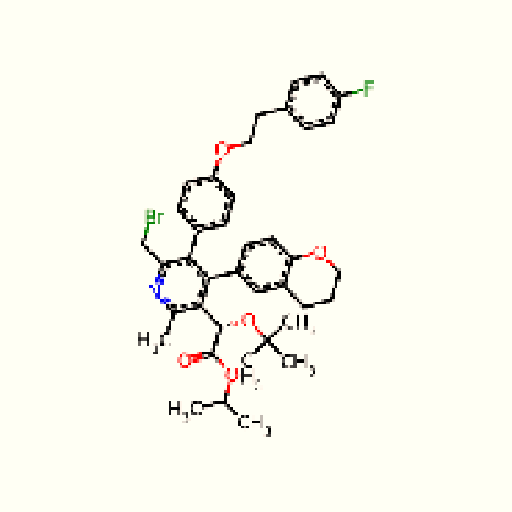 Cc1nc(CBr)c(-c2ccc(OCCc3ccc(F)cc3)cc2)c(-c2ccc3c(c2)CCCO3)c1[C@H](OC(C)(C)C)C(=O)OC(C)C